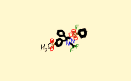 CS(=O)(=O)c1ccc(-c2nc(C(F)F)nc(OS(=O)(=O)c3ccccc3F)c2-c2ccccc2)cc1